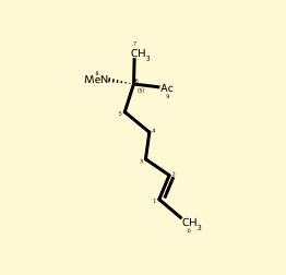 CC=CCCC[C@](C)(NC)C(C)=O